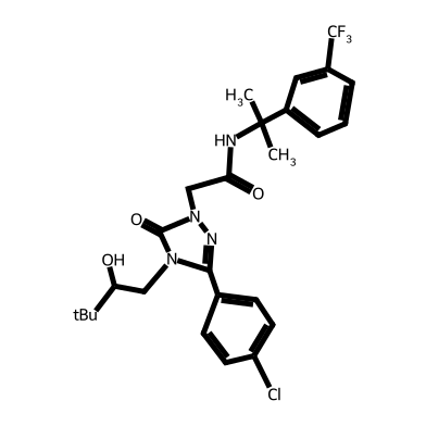 CC(C)(NC(=O)Cn1nc(-c2ccc(Cl)cc2)n(CC(O)C(C)(C)C)c1=O)c1cccc(C(F)(F)F)c1